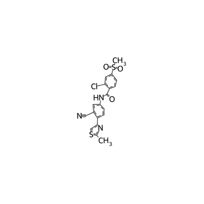 Cc1nc(-c2ccc(NC(=O)c3ccc(S(C)(=O)=O)cc3Cl)cc2C#N)cs1